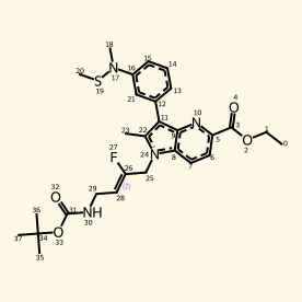 CCOC(=O)c1ccc2c(n1)c(-c1cccc(N(C)SC)c1)c(C)n2C/C(F)=C/CNC(=O)OC(C)(C)C